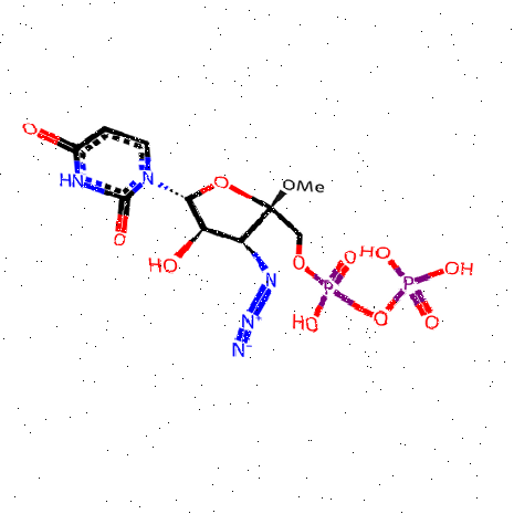 CO[C@]1(COP(=O)(O)OP(=O)(O)O)O[C@@H](n2ccc(=O)[nH]c2=O)[C@H](O)[C@@H]1N=[N+]=[N-]